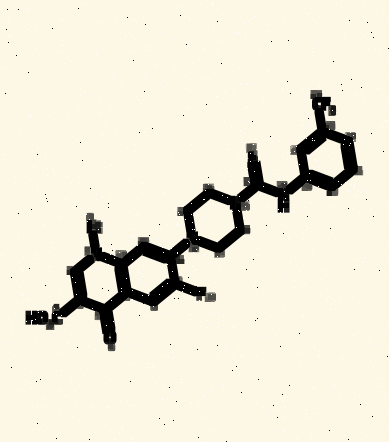 CCn1cc(C(=O)O)c(=O)c2cc(F)c(N3CCN(C(=S)Nc4cccc(C(F)(F)F)c4)CC3)cc21